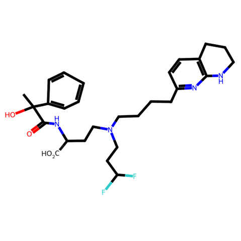 CC(O)(C(=O)NC(CCN(CCCCc1ccc2c(n1)NCCC2)CCC(F)F)C(=O)O)c1ccccc1